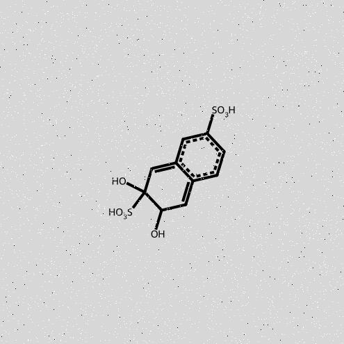 O=S(=O)(O)c1ccc2c(c1)=CC(O)(S(=O)(=O)O)C(O)C=2